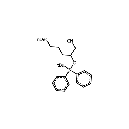 [C-]#[N+]CC(CCCCCCCCCCCCC)O[Si](c1ccccc1)(c1ccccc1)C(C)(C)C